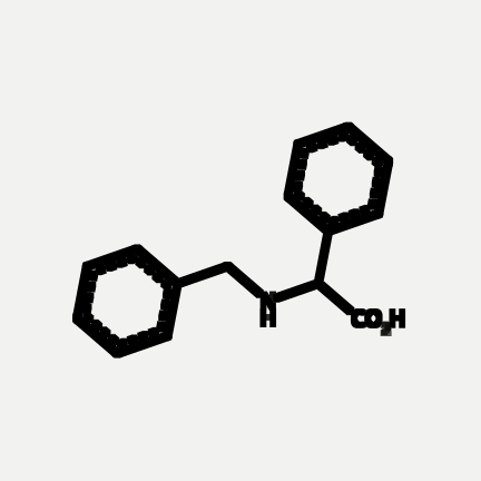 O=C(O)C(NCc1ccccc1)c1ccccc1